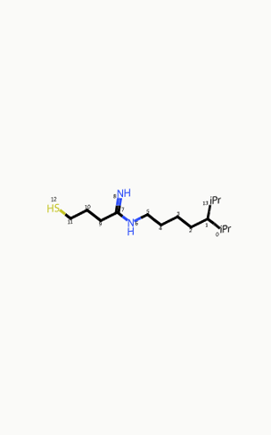 CC(C)C(CCCCNC(=N)CCCS)C(C)C